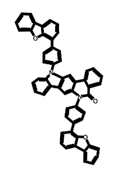 O=c1c2ccccc2c2cc3c(cc2n1-c1ccc(-c2cccc4c2oc2ccccc24)cc1)c1ccccc1n3-c1ccc(-c2cccc3c2oc2ccccc23)cc1